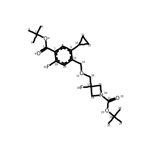 CC(C)(C)OC(=O)c1cc(C2CC2)c(COCC2(F)CN(C(=O)OC(C)(C)C)C2)cc1F